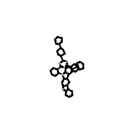 c1ccc(-c2ccc(-c3nc(-c4ccccc4)nc(-c4ccccc4-n4c5ccc(-c6ccccc6)cc5c5cc6c(cc54)sc4ccccc46)n3)cc2)cc1